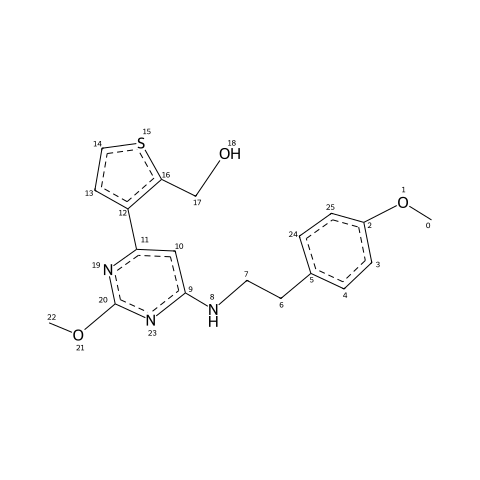 COc1ccc(CCNc2cc(-c3ccsc3CO)nc(OC)n2)cc1